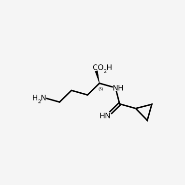 N=C(N[C@@H](CCCN)C(=O)O)C1CC1